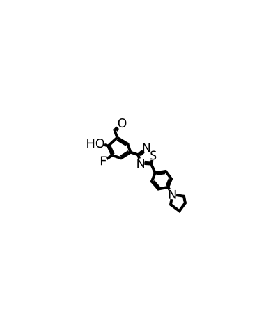 O=Cc1cc(-c2nsc(-c3ccc(N4CCCC4)cc3)n2)cc(F)c1O